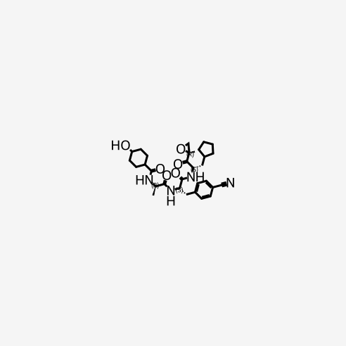 C[C@@H](NC(=O)C1CCC(O)CC1)C(=O)N[C@@H](Cc1ccc(C#N)cc1)C(=O)N[C@@H](CC1CCCC1)C(=O)[C@@]1(C)CO1